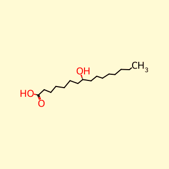 CCCCCCCC[C@H](O)CCCCCCC(=O)O